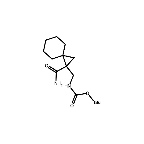 CC(C)(C)OC(=O)NCC1(C(N)=O)CC12CCCCC2